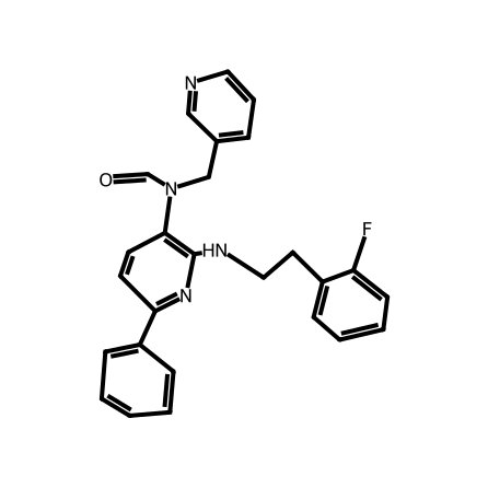 O=CN(Cc1cccnc1)c1ccc(-c2ccccc2)nc1NCCc1ccccc1F